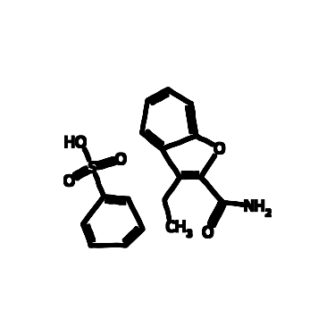 CCc1c(C(N)=O)oc2ccccc12.O=S(=O)(O)c1ccccc1